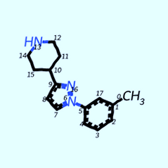 Cc1cccc(-n2ccc(C3CCNCC3)n2)c1